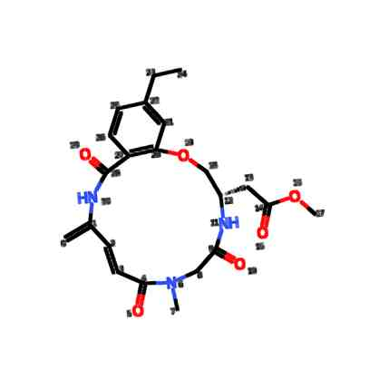 C=C1/C=C/C(=O)N(C)CC(=O)N[C@@H](CC(=O)OC)COc2cc(CC)ccc2C(=O)N1